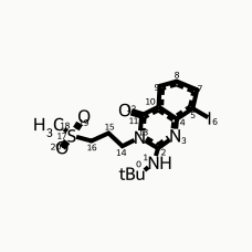 CC(C)(C)Nc1nc2c(I)cccc2c(=O)n1CCCS(C)(=O)=O